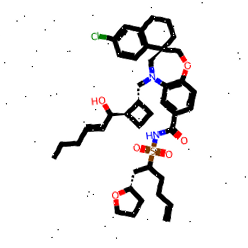 C=CCCC(C[C@@H]1CCCO1)S(=O)(=O)NC(=O)c1ccc2c(c1)N(C[C@@H]1CC[C@H]1C(O)/C=C/CCC)C[C@@]1(CCCc3cc(Cl)ccc31)CO2